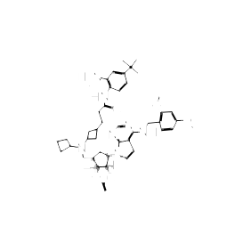 C=C1O[C@@H]2[C@@H](CN(C3CCC3)C3CC(CCC(=O)Nc4ccc(C(C)(C)C)cc4N)C3)C[C@@H](n3ccc4c(NCc5ccc(OC)cc5OC)ncnc43)[C@@H]2O1